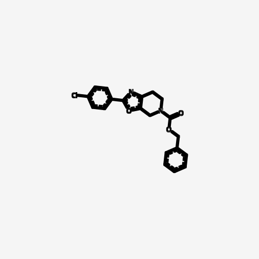 O=C(OCc1ccccc1)N1CCc2nc(-c3ccc(Cl)cc3)oc2C1